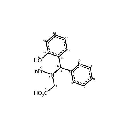 CCCN(CC(=O)O)[C@H](c1ccccn1)c1ccccc1O